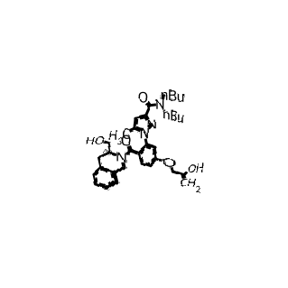 C=C(O)COc1ccc(C(=O)N2Cc3ccccc3C[C@H]2CO)c(-n2nc(C(=O)N(CCCC)CCCC)cc2C)c1